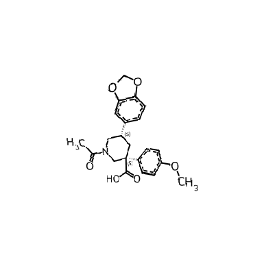 COc1ccc([C@@]2(C(=O)O)C[C@@H](c3ccc4c(c3)OCO4)CN(C(C)=O)C2)cc1